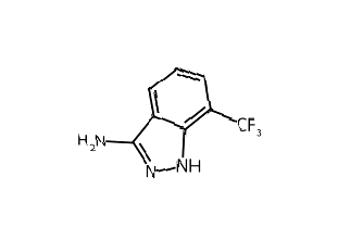 Nc1n[nH]c2c(C(F)(F)F)cccc12